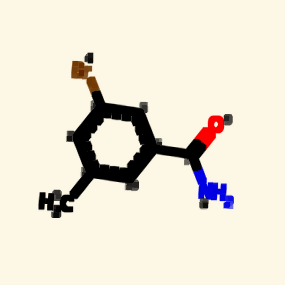 Cc1cc(Br)cc(C(N)=O)c1